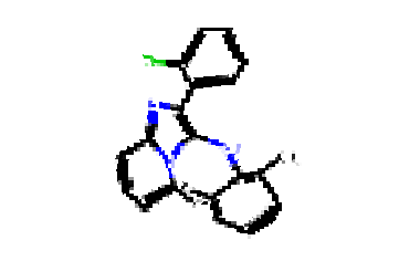 Cc1cccc(C)c1Nc1c(-c2ccccc2Cl)nc2cccc(C)n12